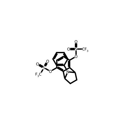 O=S(=O)(Oc1ccc(OS(=O)(=O)C(F)(F)F)c2c1C1CCC2N1c1ccccc1)C(F)(F)F